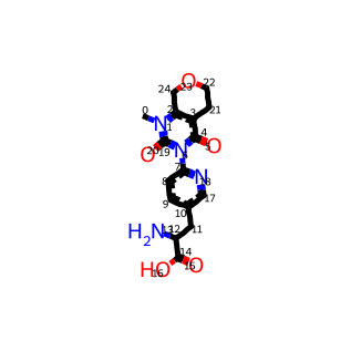 Cn1c2c(c(=O)n(-c3ccc(CC(N)C(=O)O)cn3)c1=O)CCOC2